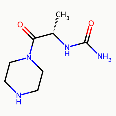 C[C@H](NC(N)=O)C(=O)N1CCNCC1